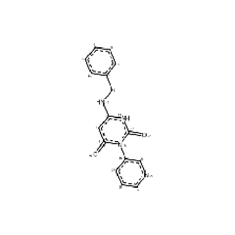 O=c1cc(NCc2ccccc2)[nH]c(=O)n1-c1cccnc1